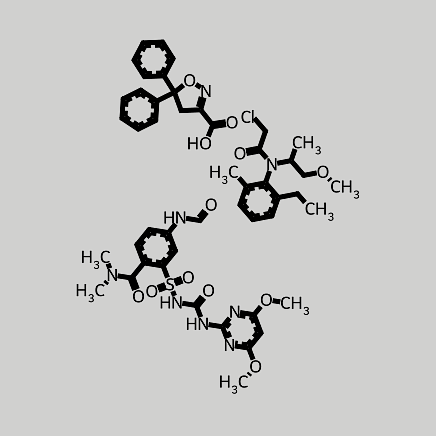 CCc1cccc(C)c1N(C(=O)CCl)C(C)COC.COc1cc(OC)nc(NC(=O)NS(=O)(=O)c2cc(NC=O)ccc2C(=O)N(C)C)n1.O=C(O)C1=NOC(c2ccccc2)(c2ccccc2)C1